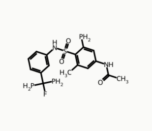 CC(=O)Nc1cc(C)c(S(=O)(=O)Nc2cccc(C(F)(P)P)c2)c(P)c1